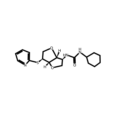 O=C(NC1CCCCC1)N[C@H]1CO[C@H]2[C@@H]1OC[C@@H]2Sc1ccccn1